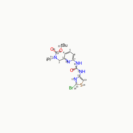 CC(C)N(Cc1cccc(NC(=O)Nc2csc(Br)n2)n1)C(=O)OC(C)(C)C